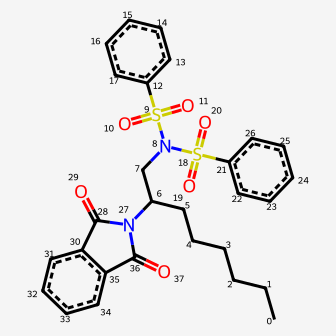 CCCCCCC(CN(S(=O)(=O)c1ccccc1)S(=O)(=O)c1ccccc1)N1C(=O)c2ccccc2C1=O